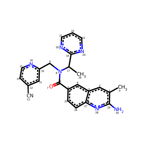 Cc1cc2cc(C(=O)N(Cc3cc(C#N)ccn3)C(C)c3ncccn3)ccc2nc1N